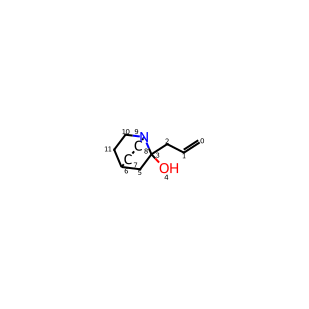 C=CCC1(O)CC2CCN1CC2